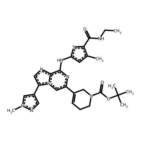 CCNC(=O)c1sc(Nc2nc(C3=CCCN(C(=O)OC(C)(C)C)C3)cn3c(-c4cnn(C)c4)cnc23)cc1C